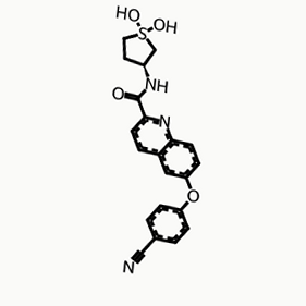 N#Cc1ccc(Oc2ccc3nc(C(=O)N[C@H]4CCS(O)(O)C4)ccc3c2)cc1